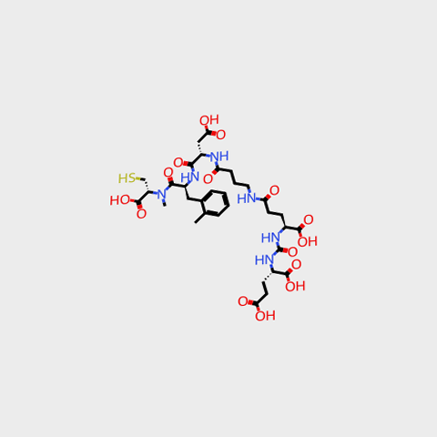 Cc1ccccc1C[C@H](NC(=O)[C@H](CC(=O)O)NC(=O)CCCNC(=O)CC[C@H](NC(=O)N[C@@H](CCC(=O)O)C(=O)O)C(=O)O)C(=O)N(C)[C@@H](CS)C(=O)O